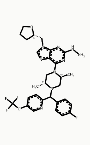 C[C@@H]1CN(c2nc(NN)nc3c2ncn3C[C@@H]2CCCO2)[C@@H](C)CN1C(c1ccc(F)cc1)c1ccc(OC(F)(F)F)cn1